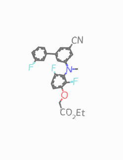 CCOC(=O)COc1ccc(F)c(N(C)c2cc(C#N)cc(-c3cccc(F)c3)c2)c1F